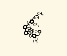 C=CCNCc1cc(C(F)(F)F)c2oc(-c3cccc(-c4cccc(-c5nc6cc(CN7CCC[C@H]7C(=O)O)c(OC(F)F)cc6o5)c4C)c3C)nc2c1